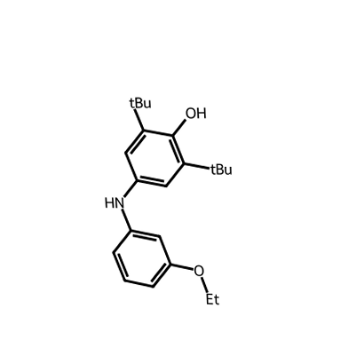 CCOc1cccc(Nc2cc(C(C)(C)C)c(O)c(C(C)(C)C)c2)c1